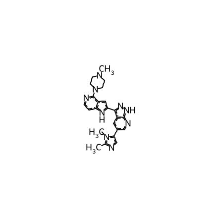 Cc1ncc(-c2cnc3[nH]nc(-c4cc5c(N6CCN(C)CC6)nccc5[nH]4)c3c2)n1C